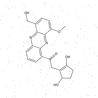 COc1ccc(CO)c2nc3cccc(C(=O)CC4=C(O)CCC4O)c3nc12